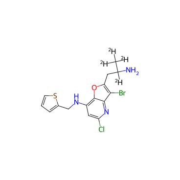 [2H]C([2H])([2H])C([2H])(N)Cc1oc2c(NCc3cccs3)cc(Cl)nc2c1Br